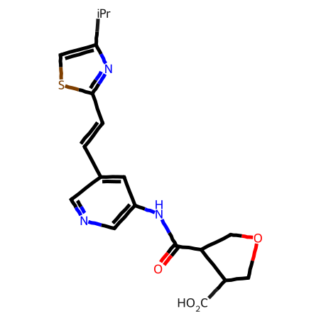 CC(C)c1csc(C=Cc2cncc(NC(=O)C3COCC3C(=O)O)c2)n1